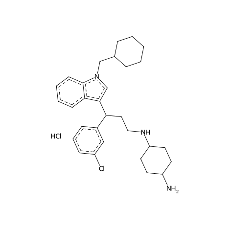 Cl.NC1CCC(NCCC(c2cccc(Cl)c2)c2cn(CC3CCCCC3)c3ccccc23)CC1